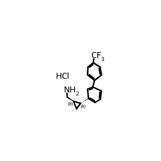 Cl.NC[C@@H]1C[C@H]1c1cccc(-c2ccc(C(F)(F)F)cc2)c1